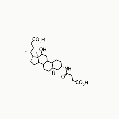 C[C@H](CCC(=O)O)[C@H]1CCC2C3CC[C@@H]4C[C@@H](NC(=O)CCC(=O)O)CC[C@]4(C)C3C[C@H](O)[C@@]21C